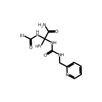 CCCC(NC(=O)CC)(NC(=O)NCc1ccccn1)C(N)=O